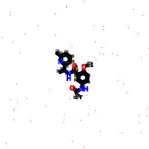 CCOc1ccc(NC(=O)C(C)C)cc1C(=O)NC(C)c1cccc(C)n1